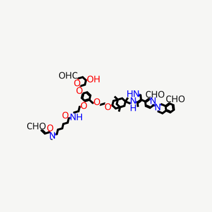 C/C(NCC1(C)CC2(C)CC(OCCOCc3ccc(OC4CC(O)CC(C=O)O4)cc3OCCCNC(=O)CCCCCN(C)C(=O)/C=C\C=O)CC(C)(C1)C2)=C(/C=N)c1ccc(N2CCc3cccc(C=O)c3C2)nc1C=O